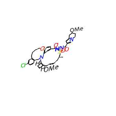 COC1CCn2cc(C(=O)NS3(=O)=NC(=O)c4ccc5c(c4)N(Cc4ccc(Cl)cc4CCCCO5)C[C@@H]4CC[C@H]4[C@@H](OC)/C=C/C[C@H](C)C3)cc2C1